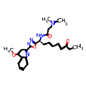 CCC(=O)CCCCC[C@H](NC(=O)CCN(C)C)c1nnc(-c2cc(OC)c3ccccc3n2)o1